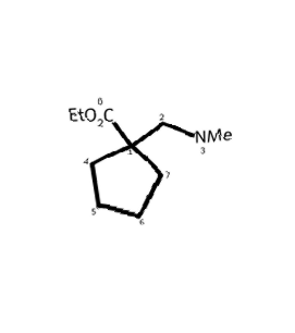 CCOC(=O)C1(CNC)CCCC1